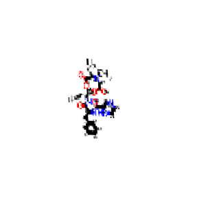 CC(C)C[C@H](NC(=O)C(Cc1ccccc1)NC(=O)c1cnccn1)B1OC(=O)CN(C)C(C)C(=O)O1